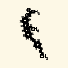 CCCCc1ccc(C#Cc2ccc(CN(Cc3ccc(OOC(C)=O)cc3)S(=O)(=O)CC)cc2)cc1